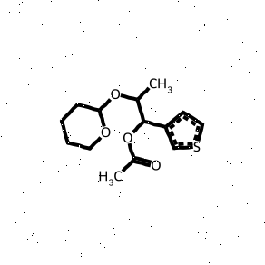 CC(=O)OC(c1ccsc1)C(C)OC1CCCCO1